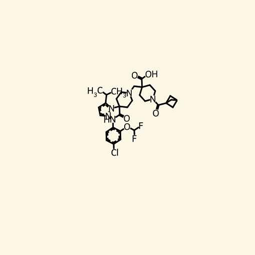 CC(C)c1ccnn1C1(C(=O)Nc2ccc(Cl)cc2OC(F)F)CCN(CC2(C(=O)O)CCN(C(=O)C34CC(C3)C4)CC2)CC1